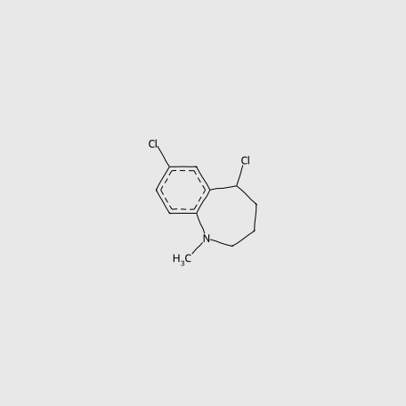 CN1CCCC(Cl)c2cc(Cl)ccc21